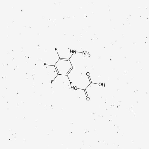 NNc1cc(F)c(F)c(F)c1F.O=C(O)C(=O)O